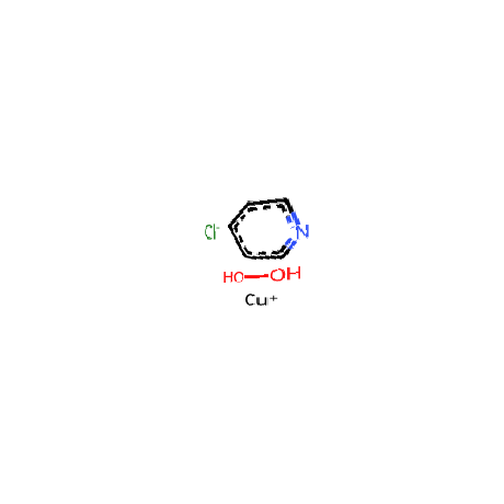 OO.[Cl-].[Cu+].c1ccncc1